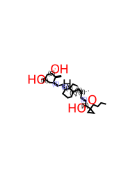 C=C1/C(=C\C=C2/CCC[C@]3(C)[C@@H]([C@H](C)/C=C/[C@@H](O)C4(C(=O)CCC)CC4)CC[C@@H]23)C[C@@H](O)C[C@@H]1O